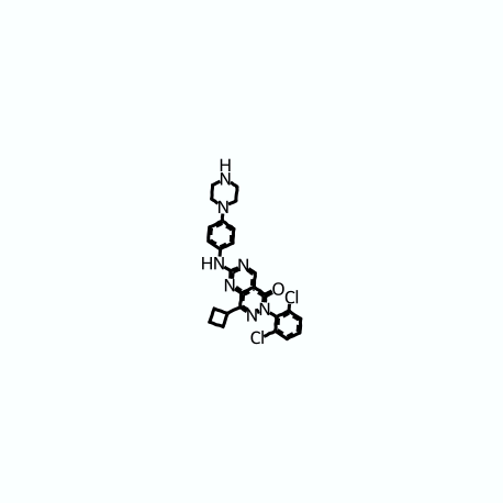 O=c1c2cnc(Nc3ccc(N4CCNCC4)cc3)nc2c(C2CCC2)nn1-c1c(Cl)cccc1Cl